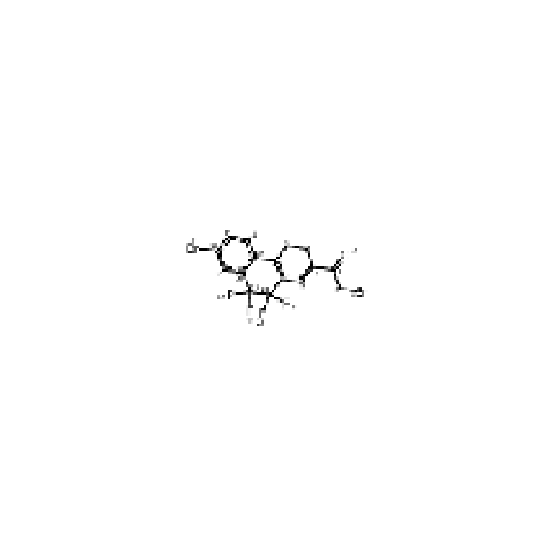 O=C(CBr)C1=CC2=C(CC1)c1ccc(Br)cc1C(F)(F)C2(F)F